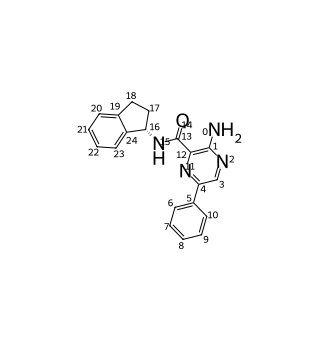 Nc1ncc(-c2ccccc2)nc1C(=O)N[C@H]1CCc2ccccc21